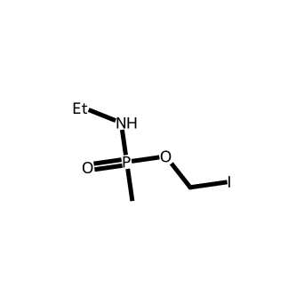 CCNP(C)(=O)OCI